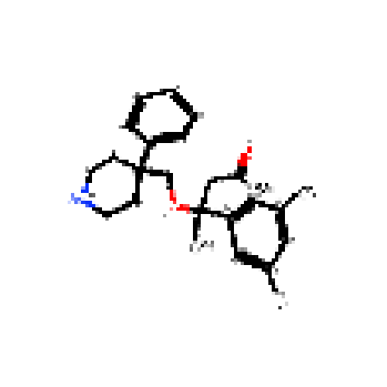 COC(=O)CC(OC)(OCC1(c2ccccc2)CCNCC1)c1cc(C(F)(F)F)cc(C(F)(F)F)c1